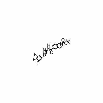 CC(C)(C)OC(=O)N1CCc2cc(C(=O)Nc3cn(Cc4cc(F)c(F)c(F)c4)cn3)ccc2C1